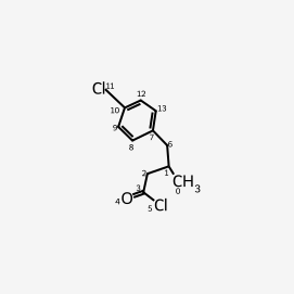 CC(CC(=O)Cl)Cc1ccc(Cl)cc1